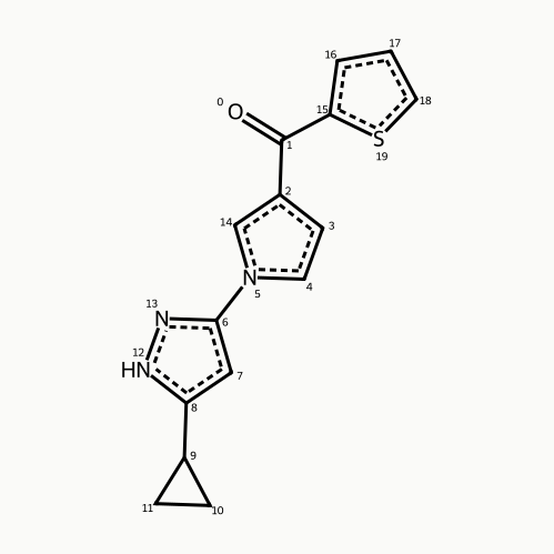 O=C(c1ccn(-c2cc(C3CC3)[nH]n2)c1)c1cccs1